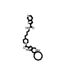 O=C(NCCCCC1CCN(C(=O)c2cc3c([nH]2)CC2(CCCCCCCCC2)NC3)CC1)c1cc2ccncc2s1